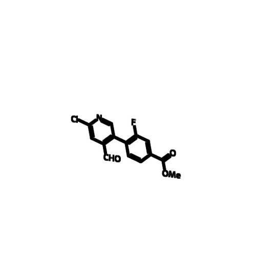 COC(=O)c1ccc(-c2cnc(Cl)cc2C=O)c(F)c1